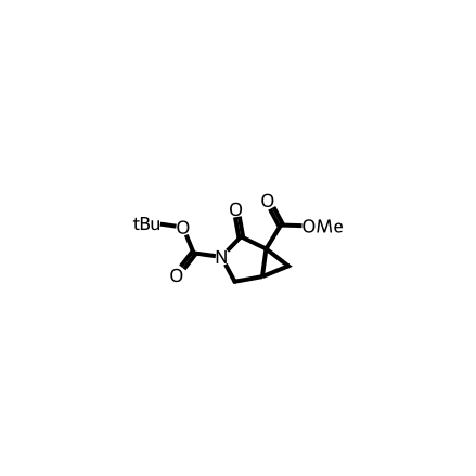 COC(=O)C12CC1CN(C(=O)OC(C)(C)C)C2=O